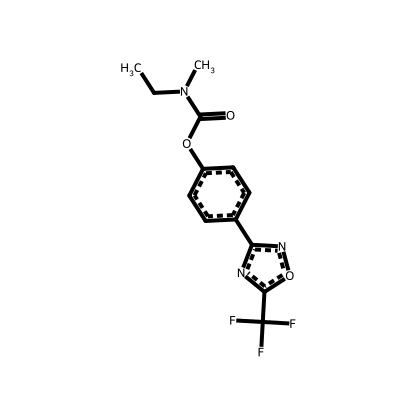 CCN(C)C(=O)Oc1ccc(-c2noc(C(F)(F)F)n2)cc1